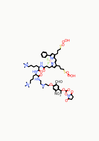 CC(OC(=O)ON1C(=O)CCC1=O)c1cc(C=O)c(OCCN(C)CCNC(=O)C(CCCC[N+](C)(C)C)NC(=O)C(CCCC[N+](C)(C)C)NC(=O)CCC2=[N+]3C(=Cc4c(CCCSOOO)cc(-c5ccccc5)n4[B-]3(F)F)C(CCCSOOO)=C2)cc1[N+](=O)[O-]